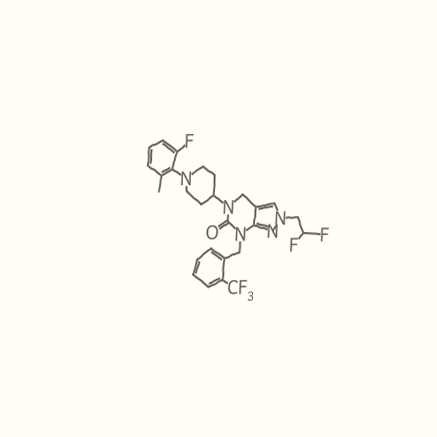 Cc1cccc(F)c1N1CCC(N2Cc3cn(CC(F)F)nc3N(Cc3ccccc3C(F)(F)F)C2=O)CC1